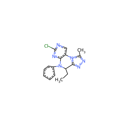 CCC1c2nnc(C)n2-c2cnc(Cl)nc2N1c1ccccc1